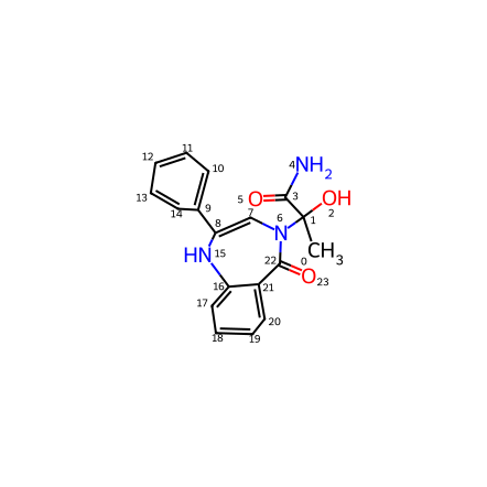 CC(O)(C(N)=O)N1C=C(c2ccccc2)Nc2ccccc2C1=O